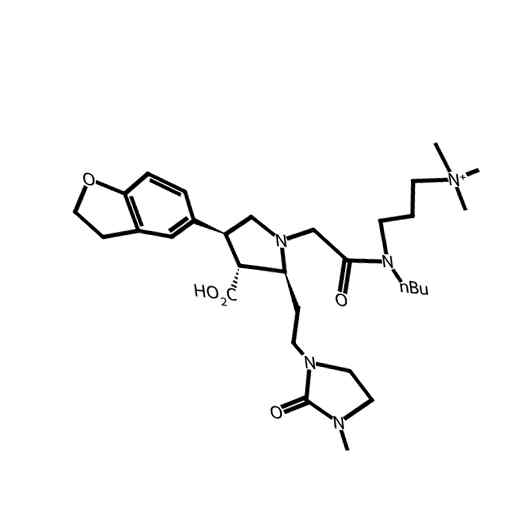 CCCCN(CCC[N+](C)(C)C)C(=O)CN1C[C@H](c2ccc3c(c2)CCO3)[C@@H](C(=O)O)[C@@H]1CCN1CCN(C)C1=O